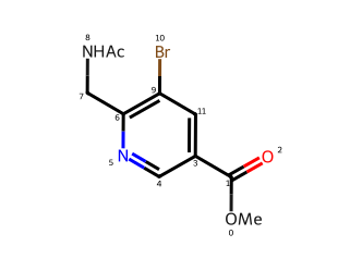 COC(=O)c1cnc(CNC(C)=O)c(Br)c1